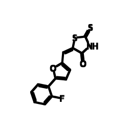 O=C1NC(=S)SC1=Cc1ccc(-c2ccccc2F)o1